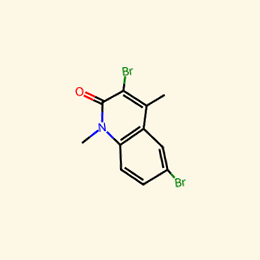 Cc1c(Br)c(=O)n(C)c2ccc(Br)cc12